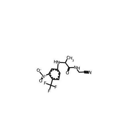 CC(Nc1ccc(C(F)(F)F)c([N+](=O)[O-])c1)C(=O)NCC#N